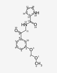 COCOc1cccc(C(=O)CNC(=O)c2ccc[nH]2)c1